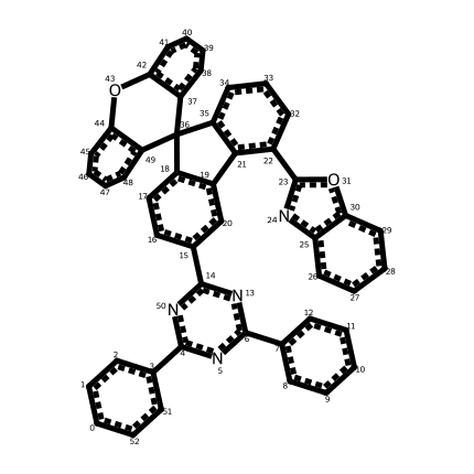 c1ccc(-c2nc(-c3ccccc3)nc(-c3ccc4c(c3)-c3c(-c5nc6ccccc6o5)cccc3C43c4ccccc4Oc4ccccc43)n2)cc1